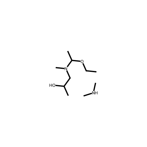 CCOC(C)N(C)CC(C)O.CNC